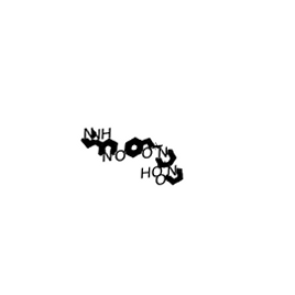 O=C1CCCN1C1CCN(C[C@@H]2Cc3ccc(Oc4ccc(-c5ccn[nH]5)cn4)cc3O2)C[C@H]1O